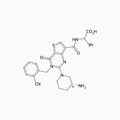 CC(C)C(NC(=O)c1csc2c(=O)n(Cc3ccccc3C#N)c(N3CCC[C@@H](N)C3)nc12)C(=O)O